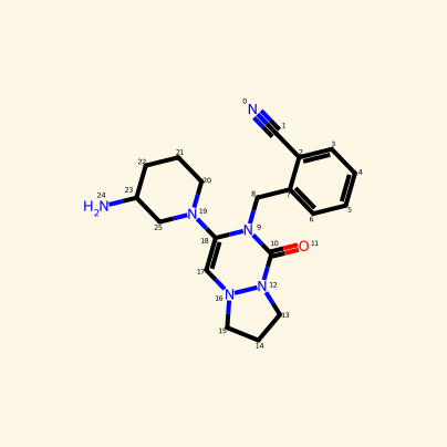 N#Cc1ccccc1CN1C(=O)N2CCCN2C=C1N1CCCC(N)C1